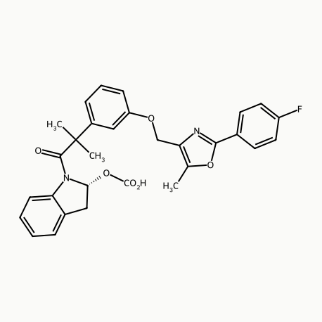 Cc1oc(-c2ccc(F)cc2)nc1COc1cccc(C(C)(C)C(=O)N2c3ccccc3C[C@H]2OC(=O)O)c1